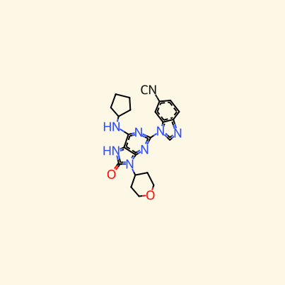 [C-]#[N+]c1ccc2ncn(-c3nc(NC4CCCC4)c4[nH]c(=O)n(C5CCOCC5)c4n3)c2c1